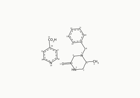 CC1CNC(=O)CN1Cc1ccccc1.O=C(O)c1ccncc1